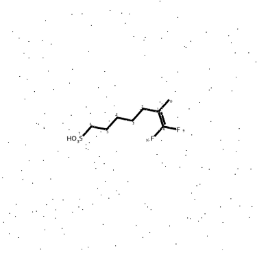 CC(CCCCCS(=O)(=O)O)=C(F)F